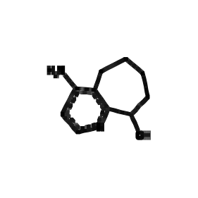 Nc1ccnc2c1CCCCC2O